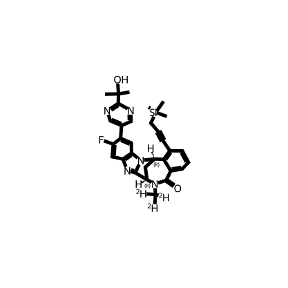 [2H]C([2H])([2H])N1C(=O)c2cccc(C#CC[Si](C)(C)C)c2[C@H]2C[C@@H]1c1nc3cc(F)c(-c4cnc(C(C)(C)O)nc4)cc3n12